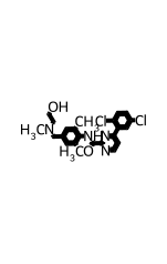 Cc1cc(CN(C)CCO)cc(C)c1NC(=O)c1nccc(-c2cc(Cl)ccc2Cl)n1